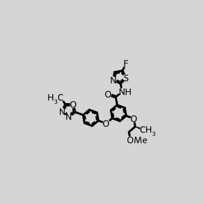 COC[C@H](C)Oc1cc(Oc2ccc(-c3nnc(C)o3)cc2)cc(C(=O)Nc2ncc(F)s2)c1